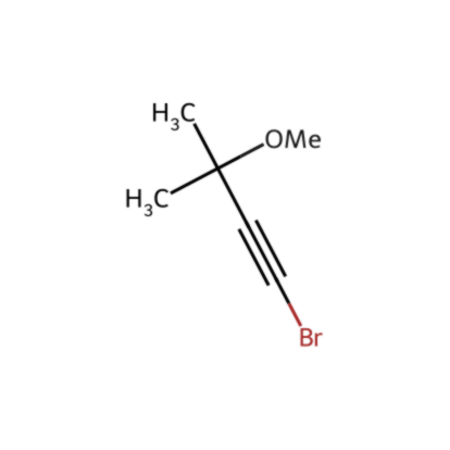 COC(C)(C)C#CBr